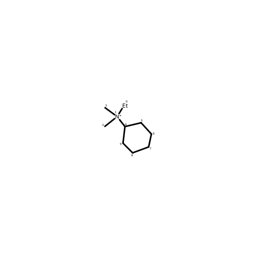 CC[N+](C)(C)C1CCCCC1